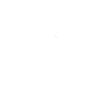 COc1ccc(C(=O)c2c(C)n(Cc3cccc(O[C@H](C)C(=O)O)c3)c3cc(OC(F)(F)F)ccc23)c(C)c1